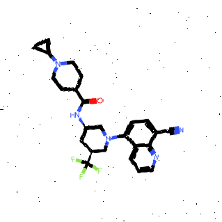 N#Cc1ccc(N2C[C@H](NC(=O)C3CCN(C4CC4)CC3)C[C@H](C(F)(F)F)C2)c2cccnc12